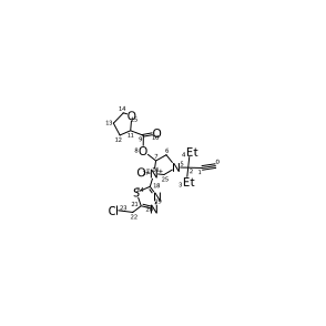 C#CC(CC)(CC)N1CC(OC(=O)C2CCCO2)[N+]([O-])(c2nnc(CCl)s2)C1